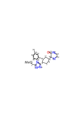 COCc1nnc([C@H]2CC[C@H](C3N=CC=NC3=O)CC2)n1-c1ccc(C)cc1